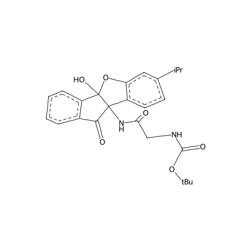 CC(C)c1ccc2c(c1)OC1(O)c3ccccc3C(=O)C21NC(=O)CNC(=O)OC(C)(C)C